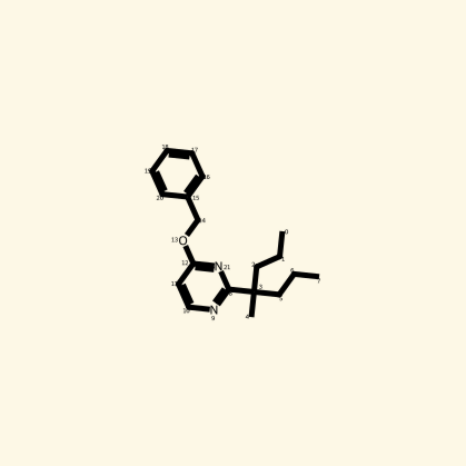 CCCC(C)(CCC)c1nccc(OCc2ccccc2)n1